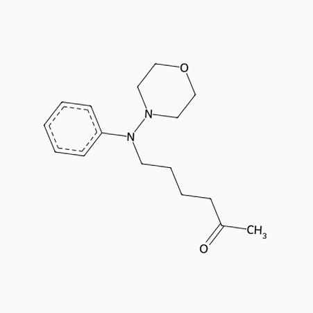 CC(=O)CCCCN(c1ccccc1)N1CCOCC1